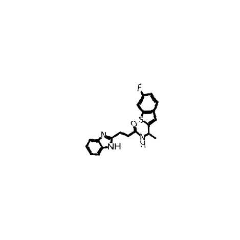 CC(NC(=O)CCc1nc2ccccc2[nH]1)c1cc2ccc(F)cc2s1